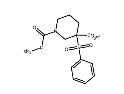 CC(C)(C)OC(=O)N1CCCC(C(=O)O)(S(=O)(=O)c2ccccc2)C1